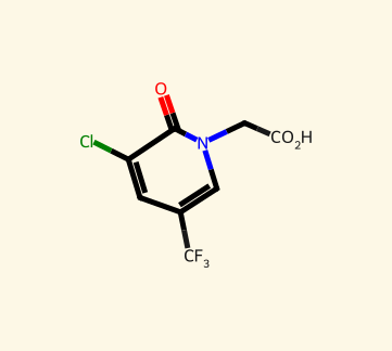 O=C(O)Cn1cc(C(F)(F)F)cc(Cl)c1=O